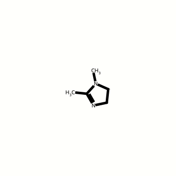 CC1=NC[CH]N1C